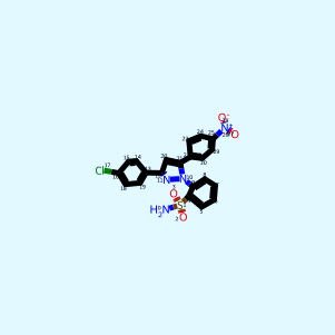 NS(=O)(=O)c1ccccc1-n1nc(-c2ccc(Cl)cc2)cc1-c1ccc([N+](=O)[O-])cc1